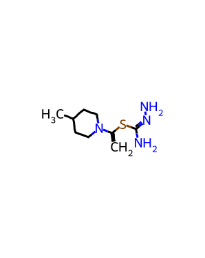 C=C(S/C(N)=N\N)N1CCC(C)CC1